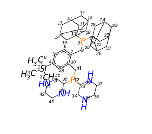 C[Si](C)(C)c1ccc(CP(C23CC4CC(CC(C4)C2)C3)C23CC4CC(CC(C4)C2)C3)c(CP(C2CNCCN2)C2CNCCN2)c1